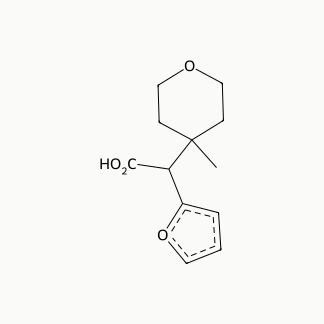 CC1(C(C(=O)O)c2ccco2)CCOCC1